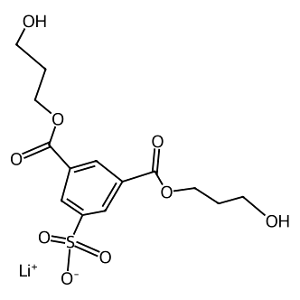 O=C(OCCCO)c1cc(C(=O)OCCCO)cc(S(=O)(=O)[O-])c1.[Li+]